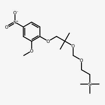 COc1cc([N+](=O)[O-])ccc1OCC(C)(C)OCOCC[Si](C)(C)C